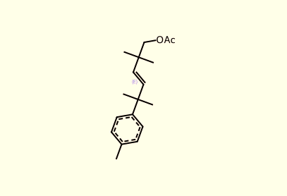 CC(=O)OCC(C)(C)/C=C/C(C)(C)c1ccc(C)cc1